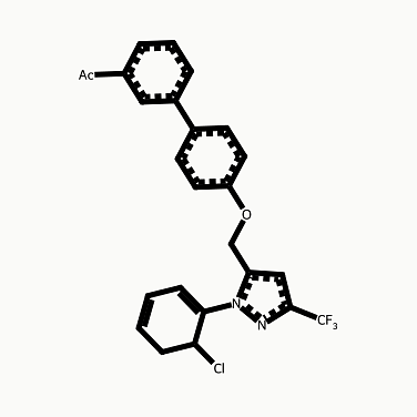 CC(=O)c1cccc(-c2ccc(OCc3cc(C(F)(F)F)nn3C3=CC=CCC3Cl)cc2)c1